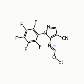 CCO/C=N/c1c(C#N)cnn1-c1c(F)c(F)c(F)c(F)c1F